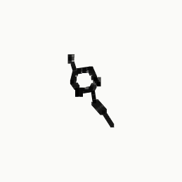 CC#Cc1ncc(F)cn1